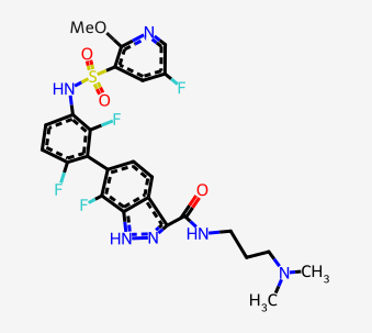 COc1ncc(F)cc1S(=O)(=O)Nc1ccc(F)c(-c2ccc3c(C(=O)NCCCN(C)C)n[nH]c3c2F)c1F